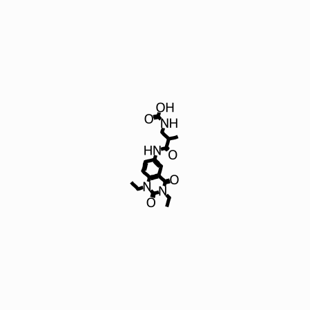 CCn1c(=O)c2cc(NC(=O)C(C)CNC(=O)O)ccc2n(CC)c1=O